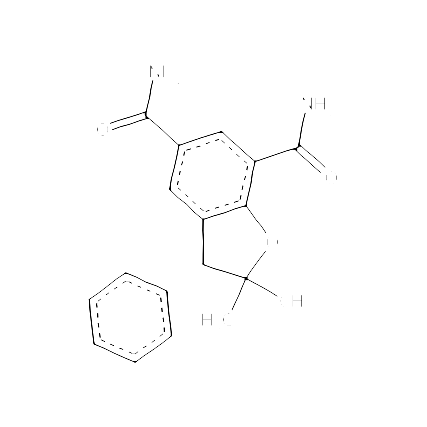 CC1(C)Oc2c(C(N)=O)cc(C(N)=O)cc2[C@H]1c1ccccc1